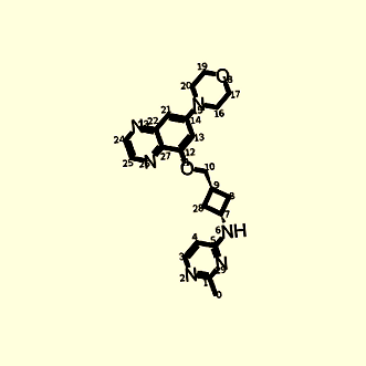 Cc1nccc(N[C@H]2C[C@H](COc3cc(N4CCOCC4)cc4nccnc34)C2)n1